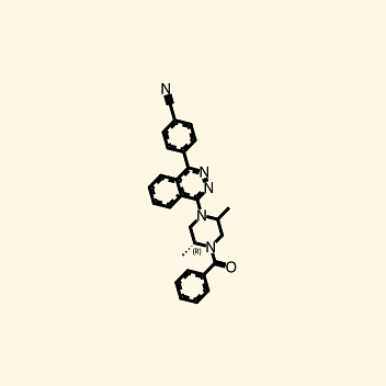 CC1CN(C(=O)c2ccccc2)[C@H](C)CN1c1nnc(-c2ccc(C#N)cc2)c2ccccc12